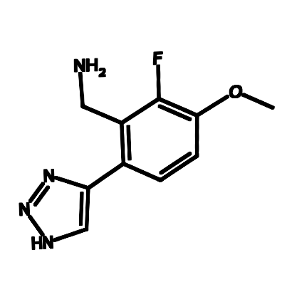 COc1ccc(-c2c[nH]nn2)c(CN)c1F